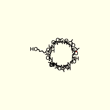 CC[C@H]1NC(=O)N(C)C(=O)[C@@H](C(C)C)N(C)C(=O)[C@@H](CC(C)C)N(C)C(=O)[C@@H](CC(C)C)N(C)C(=O)CNC(=O)[C@@H](C)NC(=O)[C@@H](CC(C)C)N(C)C(=O)[C@@H](C(C)C)NC(=O)C(C(C)O)N(C)C(=O)[C@@H](CSCCCCO)N(C)C1=O